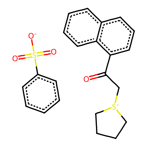 O=C(C[S+]1CCCC1)c1cccc2ccccc12.O=S(=O)([O-])c1ccccc1